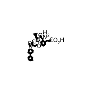 CC1=C(CCOc2ccc(CCC(=O)O)c(C(N)C(=O)OCC3CC3)c2)N(c2ccc(-c3ccccc3)cc2)CO1